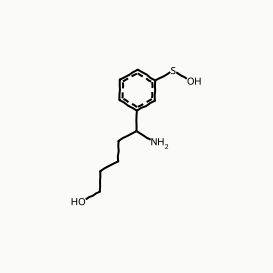 NC(CCCCO)c1cccc(SO)c1